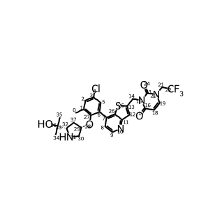 Cc1cc(Cl)cc(-c2ccnc3cc(Cn4c(=O)ccn(CC(F)(F)F)c4=O)sc23)c1O[C@@H]1CN[C@H](C(C)(C)O)C1